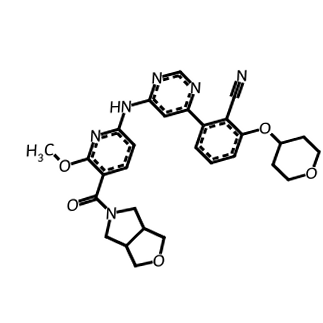 COc1nc(Nc2cc(-c3cccc(OC4CCOCC4)c3C#N)ncn2)ccc1C(=O)N1CC2COCC2C1